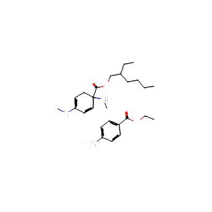 CCCCC(CC)COC(=O)C1(NC)C=CC(NC)=CC1.CCOC(=O)c1ccc(N)cc1